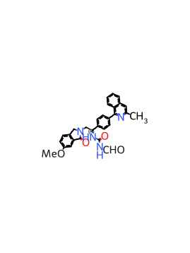 COc1ccc2c(c1)C(=O)N(C[C@H](NC(=O)NC=O)c1ccc(-c3nc(C)cc4ccccc34)cc1)C2